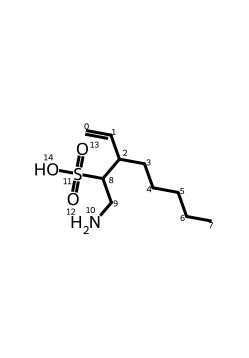 C=CC(CCCCC)C(CN)S(=O)(=O)O